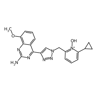 COc1cccc2c(-c3cn(Cc4cccc(C5CC5)[n+]4O)nn3)nc(N)nc12